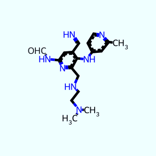 Cc1cc(Nc2c(C=N)cc(NC=O)nc2CNCCN(C)C)ccn1